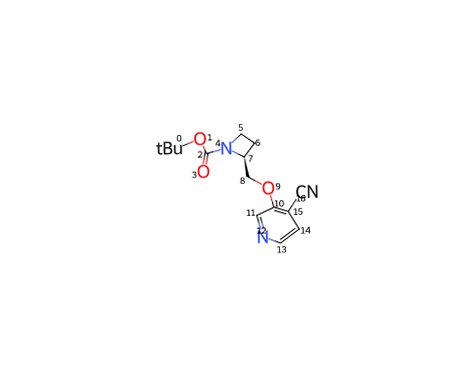 CC(C)(C)OC(=O)N1CC[C@H]1COc1cnccc1C#N